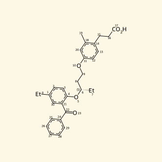 CCc1ccc(O[C@@H](CC)CCOc2ccc(CCC(=O)O)c(C)c2)c(C(=O)c2ccccc2)c1